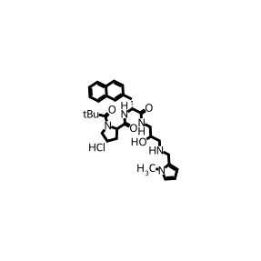 Cl.Cn1cccc1CNCC(O)CNC(=O)[C@@H](Cc1ccc2ccccc2c1)NC(=O)C1CCCN1C(=O)C(C)(C)C